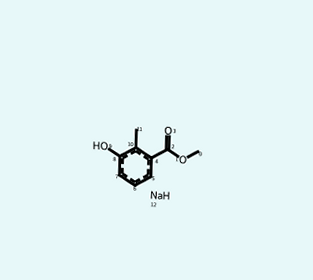 COC(=O)c1cccc(O)c1C.[NaH]